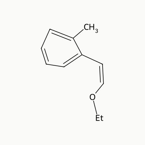 CCO/C=C\c1ccccc1C